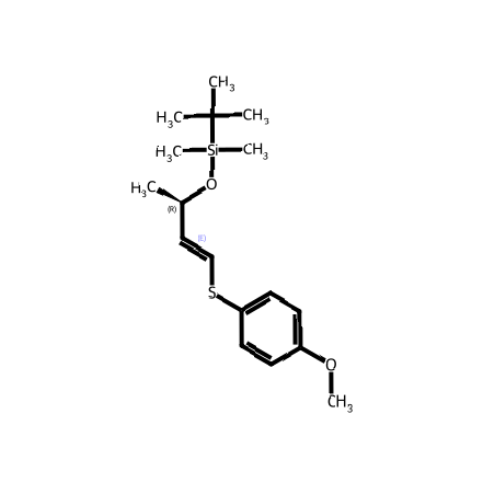 COc1ccc(S/C=C/[C@@H](C)O[Si](C)(C)C(C)(C)C)cc1